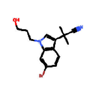 CC(C)(C#N)c1cn(CCCO)c2cc(Br)ccc12